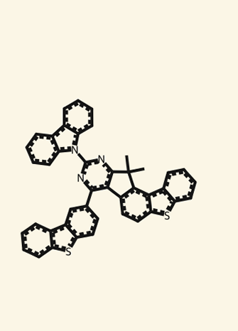 CC1(C)c2nc(-n3c4ccccc4c4ccccc43)nc(-c3ccc4sc5ccccc5c4c3)c2-c2ccc3sc4ccccc4c3c21